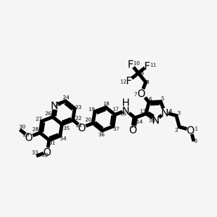 COCCn1cc(OCC(F)(F)F)c(C(=O)Nc2ccc(Oc3ccnc4cc(OC)c(OC)cc34)cc2)n1